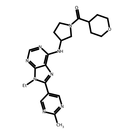 CCn1c(-c2cnc(C)nc2)nc2c(NC3CCN(C(=O)C4CCOCC4)C3)ncnc21